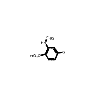 O=CNc1cc(Cl)ccc1C(=O)O